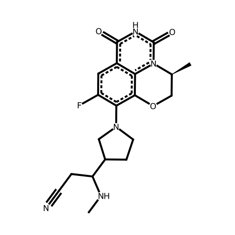 CNC(CC#N)C1CCN(c2c(F)cc3c(=O)[nH]c(=O)n4c3c2OC[C@@H]4C)C1